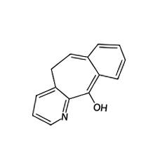 OC1=c2ccccc2=CCc2cccnc21